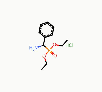 CCOP(=O)(OCC)[C@@H](N)c1ccccc1.Cl